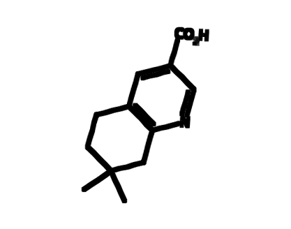 CC1(C)CCc2cc(C(=O)O)cnc2C1